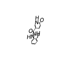 O=C(NNc1ccccc1F)c1ccc(=O)[nH]c1